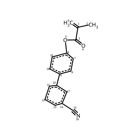 C=C(C)C(=O)Oc1ccc(-c2cccc(C#N)c2)cc1